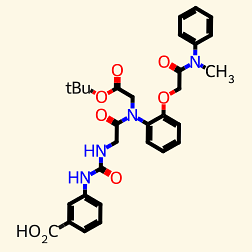 CN(C(=O)COc1ccccc1N(CC(=O)OC(C)(C)C)C(=O)CNC(=O)Nc1cccc(C(=O)O)c1)c1ccccc1